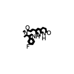 CC(c1c[nH]c2ccc(F)cc12)N(C)C(=O)/C=C/c1cnc2c(c1)CCC(=O)N2